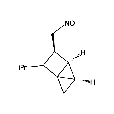 CC(C)C1[C@@H](CN=O)[C@H]2[C@H]3CC123